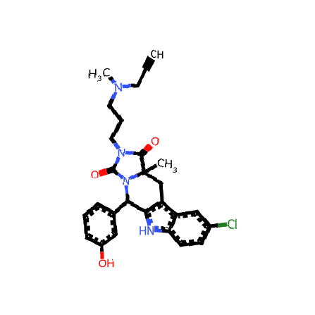 C#CCN(C)CCCN1C(=O)N2C(c3cccc(O)c3)c3[nH]c4ccc(Cl)cc4c3CC2(C)C1=O